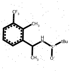 Cc1c(C(C)N[S+]([O-])C(C)(C)C)cccc1C(F)(F)F